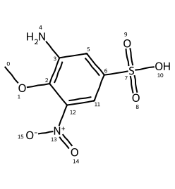 COc1c(N)cc(S(=O)(=O)O)cc1[N+](=O)[O-]